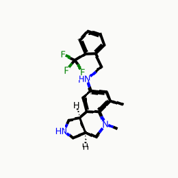 Cc1cc(NCc2ccccc2C(F)(F)F)cc2c1N(C)C[C@H]1CNC[C@@H]21